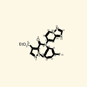 CCOC(=O)c1cnn(C)c1C(=O)N(c1cccc(F)c1)c1ccn2ncnc2c1